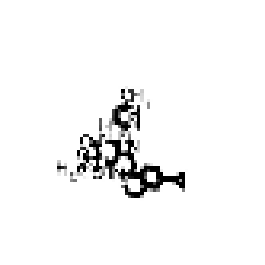 Cc1ccc(-n2nc3c(c2NC(=O)CS(C)(=O)=O)C(=O)N[C@@]2(CCCc4cc(C5CC5)ccc42)C3)nn1